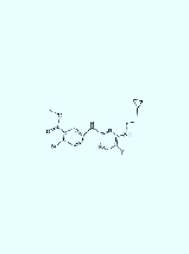 COC(=O)c1cc(Nc2ncc(F)c(NCCC3CC3)n2)ccc1Br